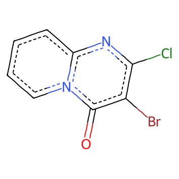 O=c1c(Br)c(Cl)nc2ccccn12